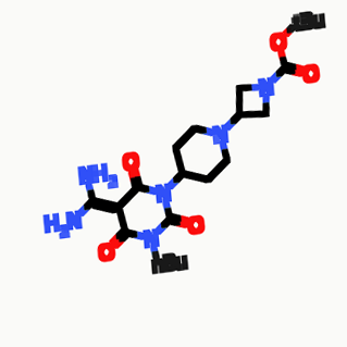 CCCCN1C(=O)C(=C(N)N)C(=O)N(C2CCN(C3CN(C(=O)OC(C)(C)C)C3)CC2)C1=O